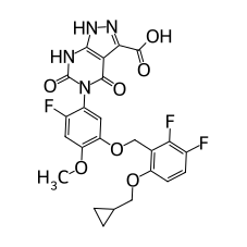 COc1cc(F)c(-n2c(=O)[nH]c3[nH]nc(C(=O)O)c3c2=O)cc1OCc1c(OCC2CC2)ccc(F)c1F